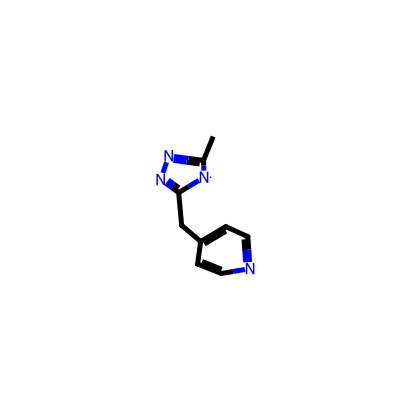 CC1=NN=C(Cc2ccncc2)[N]1